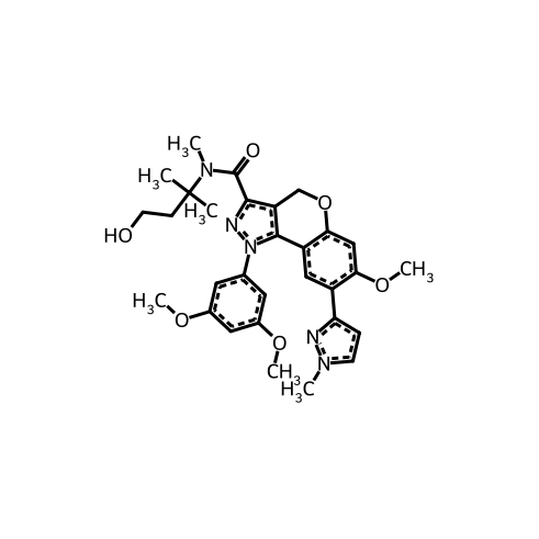 COc1cc(OC)cc(-n2nc(C(=O)N(C)C(C)(C)CCO)c3c2-c2cc(-c4ccn(C)n4)c(OC)cc2OC3)c1